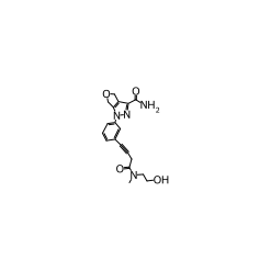 CN(CCO)C(=O)CC#Cc1cccc(-n2nc(C(N)=O)c3c2COC3)c1